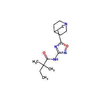 CCC(C)(C)C(=O)Nc1noc(C2CN3CCC2CC3)n1